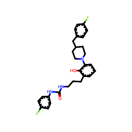 O=C(NCCCc1cccc(N2CCC(Cc3ccc(F)cc3)CC2)c1O)Nc1ccc(F)cc1